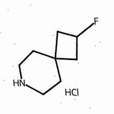 Cl.FC1CC2(CCNCC2)C1